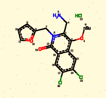 CCCCOc1c(CN)n(Cc2ccco2)c(=O)c2cc(Cl)c(Cl)cc12.Cl